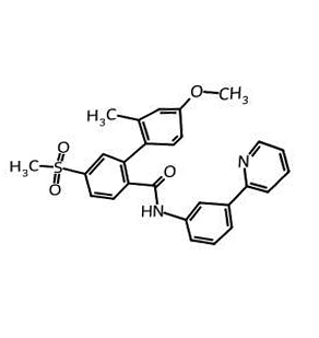 COc1ccc(-c2cc(S(C)(=O)=O)ccc2C(=O)Nc2cccc(-c3ccccn3)c2)c(C)c1